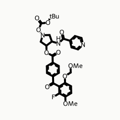 COCOc1ccc(OC)c(F)c1C(=O)c1ccc(C(=O)OC2CN(OC(=O)OC(C)(C)C)CC2NC(=O)c2ccncc2)cc1